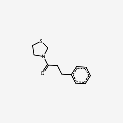 O=C(CCc1ccccc1)N1CCSC1